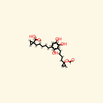 O=COC1(CCCCc2c(O)c(O)cc(CCCCCC3(C(=O)O)CC3)c2O)CC1